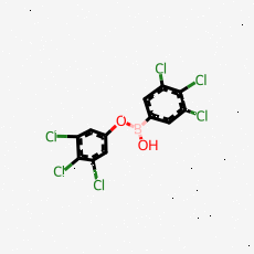 OB(Oc1cc(Cl)c(Cl)c(Cl)c1)c1cc(Cl)c(Cl)c(Cl)c1